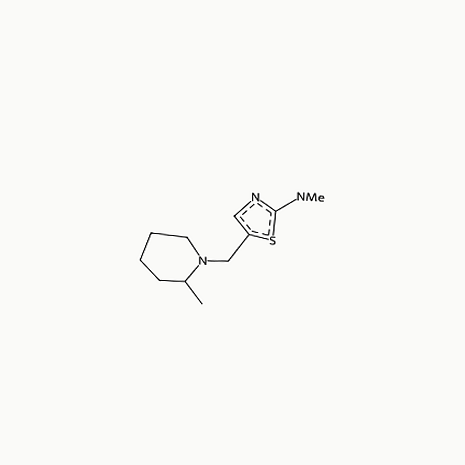 CNc1ncc(CN2CCCCC2C)s1